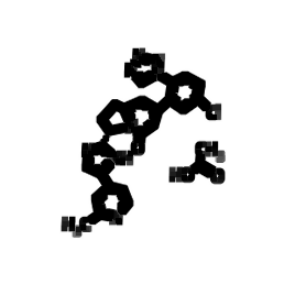 CC(=O)O.Cc1cc(-c2cnc([C@@H]3CCc4cc(-c5cc(Cl)ccc5-n5cnnn5)cc(=O)n43)[nH]2)ccn1